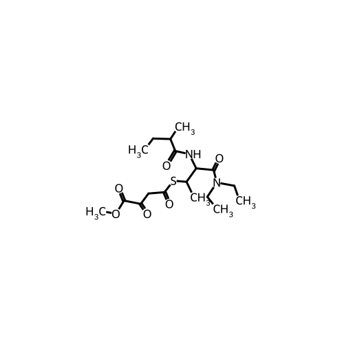 CCC(C)C(=O)NC(C(=O)N(CC)CC)C(C)SC(=O)CC(=O)C(=O)OC